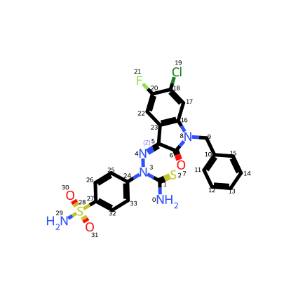 NC(=S)N(/N=C1\C(=O)N(Cc2ccccc2)c2cc(Cl)c(F)cc21)c1ccc(S(N)(=O)=O)cc1